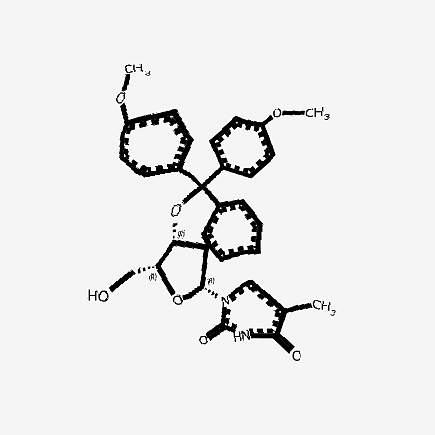 COc1ccc(C(O[C@@H]2C[C@H](n3cc(C)c(=O)[nH]c3=O)O[C@@H]2CO)(c2ccccc2)c2ccc(OC)cc2)cc1